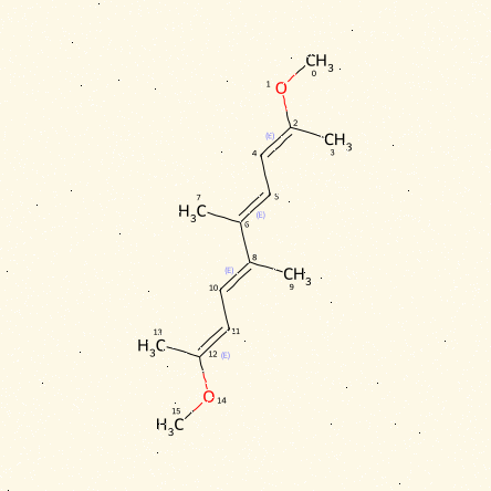 CO/C(C)=C/C=C(C)/C(C)=C/C=C(\C)OC